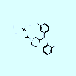 Cc1ccccc1O[C@@H](c1cccc(I)c1)C1CN(C(=O)OC(C)(C)C)CCO1